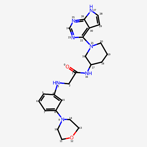 O=C(CNc1cccc(N2CCOCC2)c1)NC1CCCN(c2ncnc3[nH]ccc23)C1